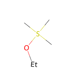 [CH2]COS(C)(C)C